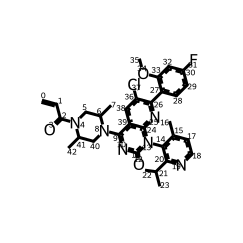 C=CC(=O)N1CC(C)N(c2nc(=O)n(-c3c(C)ccnc3C(C)C)c3nc(-c4ccc(F)cc4OC)c(Cl)cc23)CC1C